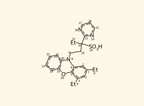 CCc1cc(CC)c2c(c1)N(CCC(CC)(c1ncccn1)S(=O)(=O)O)c1ccccc1O2